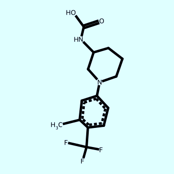 Cc1cc(N2CCCC(NC(=O)O)C2)ccc1C(F)(F)F